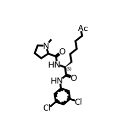 CC(=O)CCCCC[C@H](NC(=O)C1CCCN1C)C(=O)Nc1cc(Cl)cc(Cl)c1